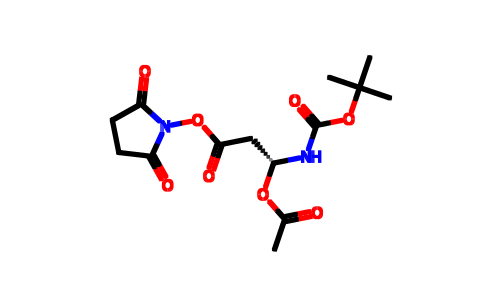 CC(=O)O[C@H](CC(=O)ON1C(=O)CCC1=O)NC(=O)OC(C)(C)C